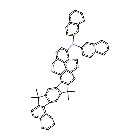 CC1(C)c2cc3c(cc2-c2c1ccc1ccccc21)C(C)(C)c1cc2ccc4c(N(c5ccc6ccccc6c5)c5ccc6ccccc6c5)ccc5ccc(c1-3)c2c54